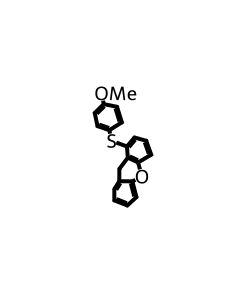 COc1ccc(Sc2cccc3c2Cc2ccccc2O3)cc1